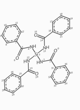 O=C(N[Si](NC(=O)c1ccccc1)(NC(=O)c1ccccc1)NC(=O)c1ccccc1)c1ccccc1